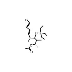 CC[Si](CC)(CC)OC(C(C)[C@H](C)OC(C)=O)[C@@H](C)/C=C/C=C/Cl